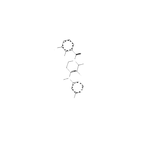 Cc1cc(N(N)C2=C(N)C(C)N(C(=O)c3cccc(C(F)(F)F)c3P)CC2)ncn1